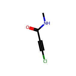 CNC(=O)C#CCl